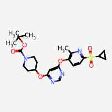 Cc1nc(S(=O)(=O)C2CC2)ccc1Oc1cc(OC2CCN(C(=O)OC(C)(C)C)CC2)ncn1